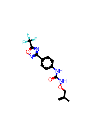 C=C(C)CONC(=O)Nc1ccc(-c2noc(C(F)(F)F)n2)cc1